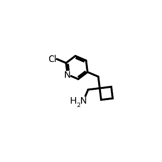 NCC1(Cc2ccc(Cl)nc2)CCC1